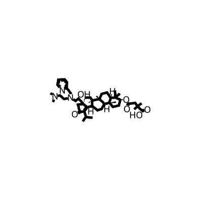 CC(C)C1=C2[C@H]3CC[C@@H]4[C@@]5(C)CC[C@@H](OC(=O)CC(C)(C)C(=O)O)C(C)(C)[C@@H]5CC[C@@]4(C)[C@]3(C)CC[C@@]2([C@@H](O)CN(CCN(C)C)Cc2ccccn2)CC1=O